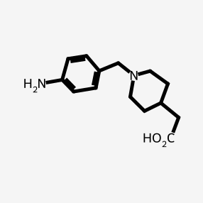 Nc1ccc(CN2CCC(CC(=O)O)CC2)cc1